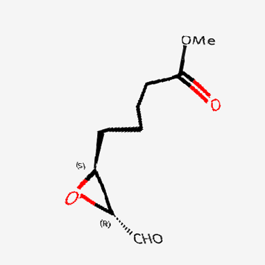 COC(=O)CCC[C@@H]1O[C@H]1C=O